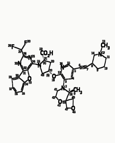 C[C@@H]1N(c2cc(C#CC3CCCN(C)C3)cnc2O[C@H]2C[C@@H](C(=O)O)N(c3nc(C(F)F)nc4c3oc3ccccc34)C2)CCOC12COC2